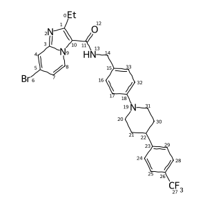 CCc1nc2cc(Br)ccn2c1C(=O)NCc1ccc(N2CCC(c3ccc(C(F)(F)F)cc3)CC2)cc1